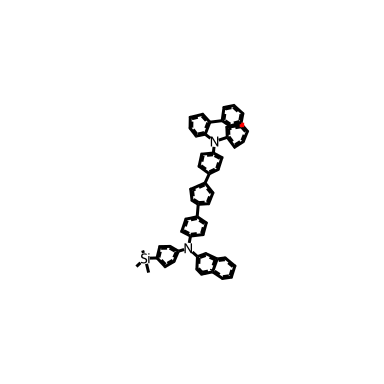 C[Si](C)(C)c1ccc(N(c2ccc(-c3ccc(-c4ccc(N(c5ccccc5)c5ccccc5-c5ccccc5)cc4)cc3)cc2)c2ccc3ccccc3c2)cc1